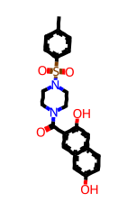 Cc1ccc(S(=O)(=O)N2CCN(C(=O)c3cc4cc(O)ccc4cc3O)CC2)cc1